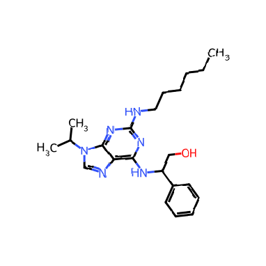 CCCCCCNc1nc(NC(CO)c2ccccc2)c2ncn(C(C)C)c2n1